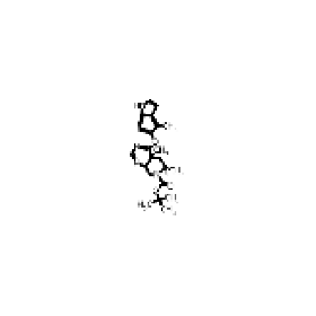 Cc1c(OC2=NC=NC3CN(C(=O)OC(C)(C)C)[C@@H](C)CC23C)ccc2[nH]ccc12